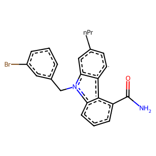 CCCc1c[c]c2c3c(C(N)=O)cccc3n(Cc3cccc(Br)c3)c2c1